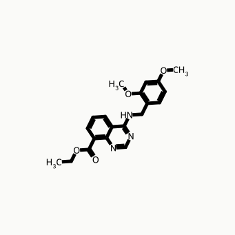 CCOC(=O)c1cccc2c(NCc3ccc(OC)cc3OC)ncnc12